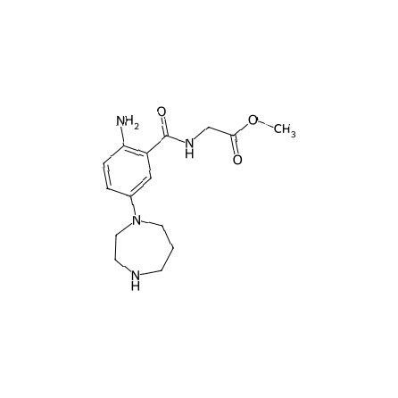 COC(=O)CNC(=O)c1cc(N2CCCNCC2)ccc1N